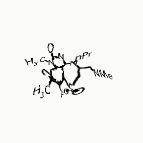 CCCN1c2nc(=O)n(C)c3nc(C)c(F)c(c23)S(=O)(=O)CC1CNC